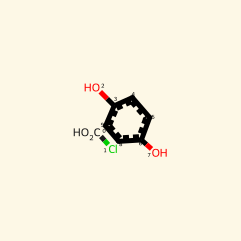 O=C(O)Cl.Oc1ccc(O)cc1